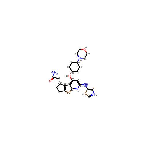 NC(=O)C[C@H]1CCc2sc3nc(Nc4cncs4)cc(O[C@H]4CC[C@H](N5CCOCC5)CC4)c3c21